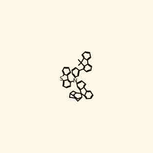 CC1(C)c2ccccc2-c2cccc(-c3cccc(N(c4ccc5c(c4)C4(c6ccccc6-5)C5CC6CC(C5)CC4C6)c4cccc5sc6ccccc6c45)c3)c21